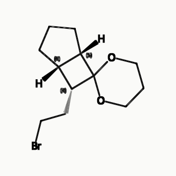 BrCC[C@@H]1[C@@H]2CCC[C@@H]2C12OCCCO2